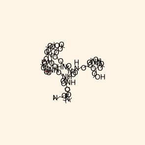 C=NCCCOP(Oc1ccc(C(=O)NC(CCC(=O)N(CC(=O)NCCOCCOC2OC(COC(C)=O)C(OC(C)=O)C(OC(C)=O)C2NC(C)=O)CC(=O)NCCOCCOC2OC(COC(C)O)C(OC(C)=O)C(OC(C)=O)C2NC(C)=O)C(=O)NCCOCCOC2OC(COC(C)=O)C(OC(C)=O)C(OC(C)=O)C2NC(C)=O)cc1)N(C(C)C)C(C)C